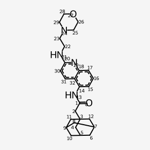 O=C(CC12CC3CC(CC(C3)C1)C2)Nc1cccc2nc(NCCN3CCOCC3)ccc12